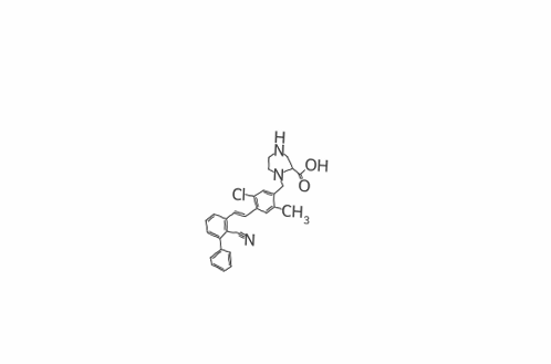 Cc1cc(C=Cc2cccc(-c3ccccc3)c2C#N)c(Cl)cc1CN1CCNCC1C(=O)O